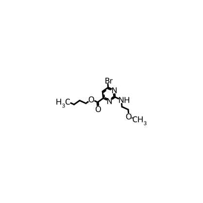 CCCCOC(=O)c1cc(Br)nc(NCCOC)n1